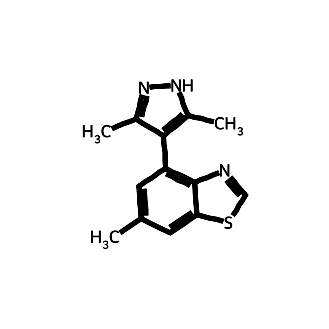 Cc1cc(-c2c(C)n[nH]c2C)c2ncsc2c1